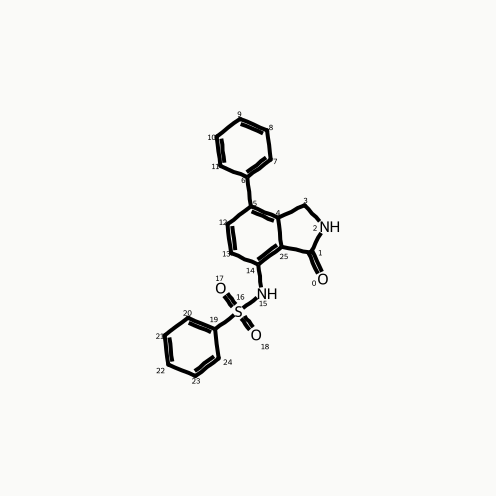 O=C1NCc2c(-c3ccccc3)ccc(NS(=O)(=O)c3ccccc3)c21